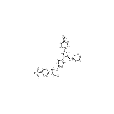 CCS(=O)(=O)c1ccc([C@H](CO)NCc2ccc(N3CC(c4ccc(C(F)(F)F)cc4)C[C@H]3CN3CCOCC3)cc2)cc1